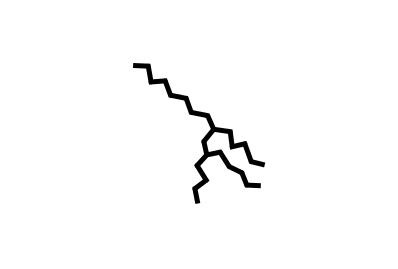 CCCCCCCCC(CCCCC)CC(CCCC)CCCCC